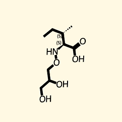 CC[C@H](C)[C@H](NOCC(O)CO)C(=O)O